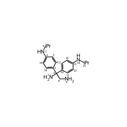 CC(C)Nc1ccc(C(N)(CN)c2ccc(NC(C)C)cc2)cc1